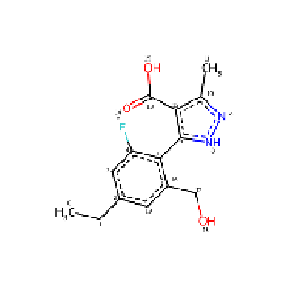 CCc1cc(F)c(-c2[nH]nc(C)c2C(=O)O)c(CO)c1